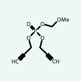 C#CCOP(=O)(OCC#C)OCOC